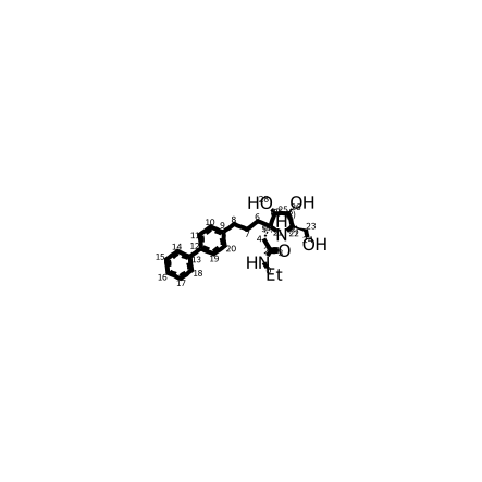 CCNC(=O)C[C@@]1(CCCc2ccc(-c3ccccc3)cc2)N[C@H](CO)[C@@H](O)[C@@H]1O